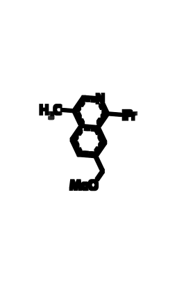 COCc1ccc2c(C)cnc(C(C)C)c2c1